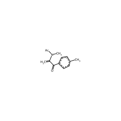 C=C(C(=O)c1ccc(C)cc1)N(C)C(C)=O